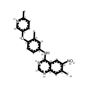 Cc1ccc(Oc2ccc(Nc3ncnc4cc(F)c([N+](=O)[O-])cc34)cc2C)cn1